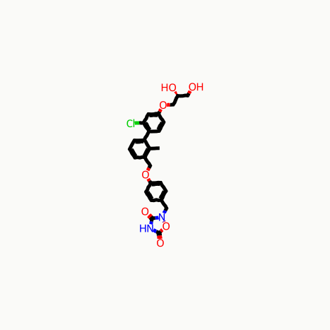 Cc1c(COc2ccc(Cn3oc(=O)[nH]c3=O)cc2)cccc1-c1ccc(OC[C@@H](O)CO)cc1Cl